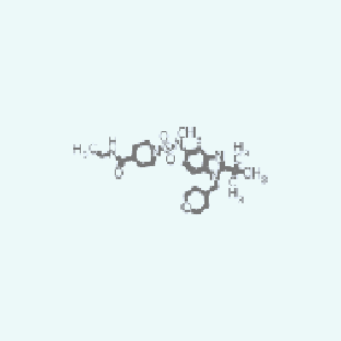 CCNC(=O)C1CCN(S(=O)(=O)N(C)c2ccc3c(c2)nc(C(C)(C)C)n3CC2CCOCC2)CC1